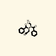 CCN(C(=O)c1ccccc1)N(CC#N)C(=O)c1ccccc1